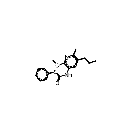 CCCc1cc(NC(=O)Sc2ccccc2)c(OC)nc1C